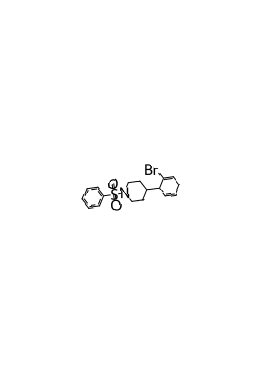 O=S(=O)(c1ccccc1)N1CCC(C2C=CCC=C2Br)CC1